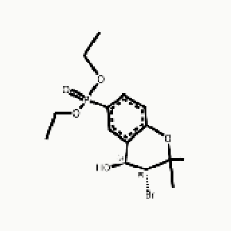 CCOP(=O)(OCC)c1ccc2c(c1)[C@H](O)[C@@H](Br)C(C)(C)O2